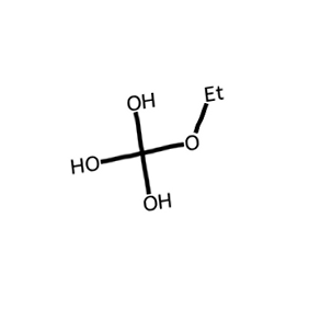 CCOC(O)(O)O